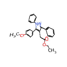 CCOC(=O)Cc1c(-c2ccccc2)nn(-c2ccccc2)c1-c1ccc(OC)cc1